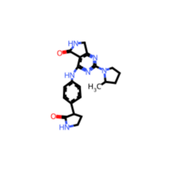 CC1CCCN1c1nc2c(c(Nc3ccc(C4CCNC4=O)cc3)n1)C(=O)NC2